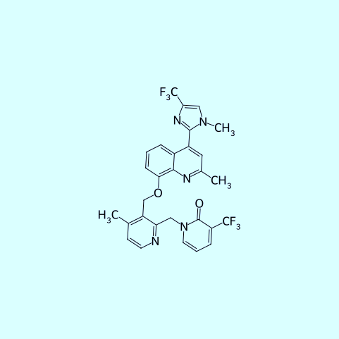 Cc1cc(-c2nc(C(F)(F)F)cn2C)c2cccc(OCc3c(C)ccnc3Cn3cccc(C(F)(F)F)c3=O)c2n1